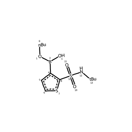 CCCCOB(O)c1ccsc1S(=O)(=O)NC(C)(C)C